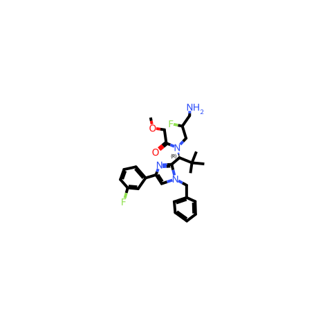 COCC(=O)N(CC(F)CN)[C@@H](c1nc(-c2cccc(F)c2)cn1Cc1ccccc1)C(C)(C)C